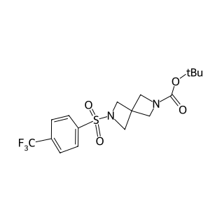 CC(C)(C)OC(=O)N1CC2(C1)CN(S(=O)(=O)c1ccc(C(F)(F)F)cc1)C2